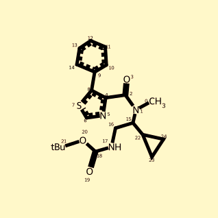 CN(C(=O)c1ncsc1-c1ccccc1)C(CNC(=O)OC(C)(C)C)C1CC1